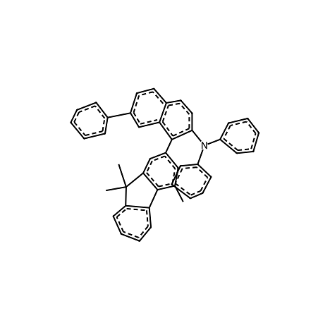 Cc1cc(-c2c(N(c3ccccc3)c3ccccc3)ccc3ccc(-c4ccccc4)cc23)cc2c1-c1ccccc1C2(C)C